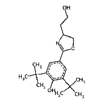 CC(C)(C)c1cc(C2=NC(CCO)CO2)cc(C(C)(C)C)c1O